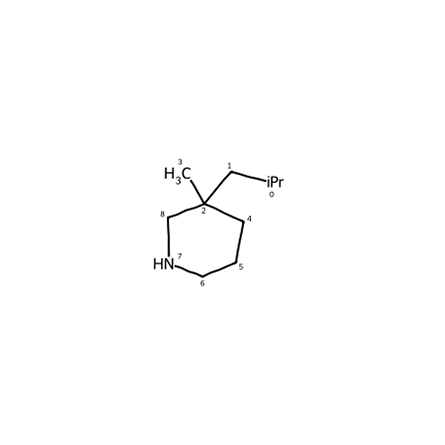 CC(C)CC1(C)CCCNC1